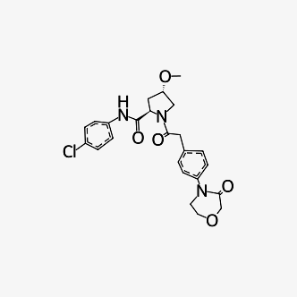 CO[C@H]1C[C@H](C(=O)Nc2ccc(Cl)cc2)N(C(=O)Cc2ccc(N3CCOCC3=O)cc2)C1